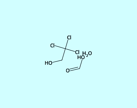 O.O=CO.OCC(Cl)(Cl)Cl